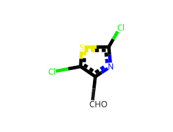 O=Cc1nc(Cl)sc1Cl